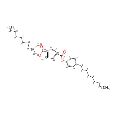 CCCCCCCCCc1ccc(OC(=O)c2ccc(C3OCC(CCCCCCCC)CO3)c(F)c2)cc1